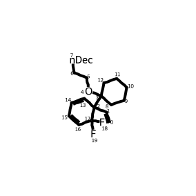 C=CC1(C2(OCCCCCCCCCCCC)CCCCC2)C=CC=CC1(F)F